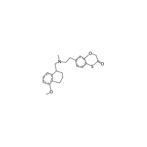 COc1cccc2c1CCCC2CN(C)CCc1ccc2c(c1)OCC(=O)S2